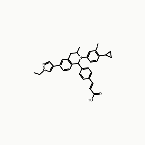 CCn1cc(-c2ccc3c(c2)CC(C)N(c2ccc(C4CC4)c(F)c2)C3c2ccc(/C=C/C(=O)O)cc2)cn1